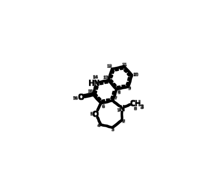 CN1CCCOc2c1c1ccccc1[nH]c2=O